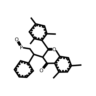 Cc1cc(C)c(C(=O)C(C(=O)c2c(C)cc(C)cc2C)C(CP=O)c2ccccc2)c(C)c1